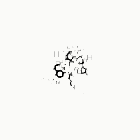 CCC[C@@H]1C[C@@H](C(=O)NC(C(C)Cl)[C@H]2O[C@H](SC)[C@H](O)[C@@H](O)[C@H]2O)N(C)C1.COc1cc(NC(C)CCCN)c2ncccc2c1